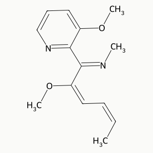 C\C=C/C=C(OC)\C(=N\C)c1ncccc1OC